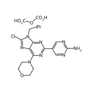 CC(C)Cn1c(Cl)nc2c(N3CCOCC3)nc(-c3cnc(N)nc3)nc21.O=C(O)OC(=O)O